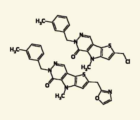 Cc1cccc(Cn2ncc3c4sc(CCl)cc4n(C)c3c2=O)c1.Cc1cccc(Cn2ncc3c4sc(Cc5ncco5)cc4n(C)c3c2=O)c1